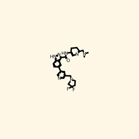 CN(C)CC1=NC=C(NC(=O)c2n[nH]c3ccc(-c4cncc(CN5CCC(F)(F)C5)c4)cc23)CC1